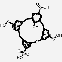 O=S(O)c1cc2c(O)c(c1)Cc1cc(SO)cc(c1O)Cc1cc(S(=O)(=O)O)cc(c1O)Cc1cc(SO)cc(c1O)C2